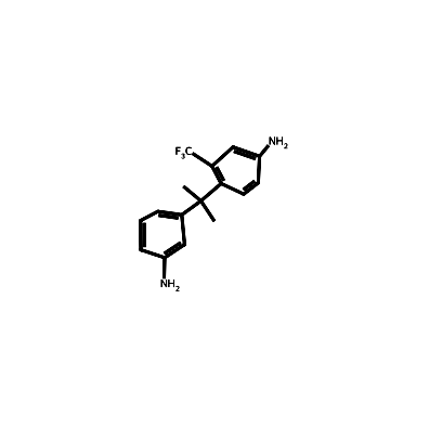 CC(C)(c1cccc(N)c1)c1ccc(N)cc1C(F)(F)F